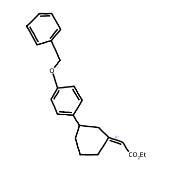 CCOC(=O)/C=C1\CCCC(c2ccc(OCc3ccccc3)cc2)C1